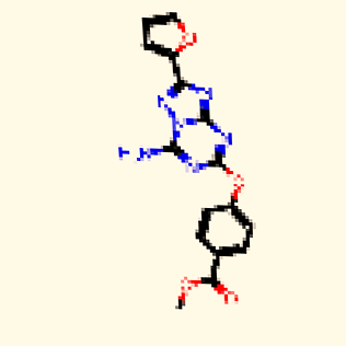 COC(=O)c1ccc(Oc2nc(N)n3nc(-c4ccco4)nc3n2)cc1